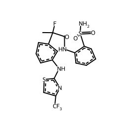 CC(F)(C(=O)Nc1ccccc1S(N)(=O)=O)c1cccc(Nc2nc(C(F)(F)F)cs2)c1